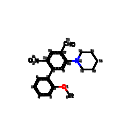 CCOc1ccccc1-c1cc(N2CCCCC2)c(C=O)cc1[N+](=O)[O-]